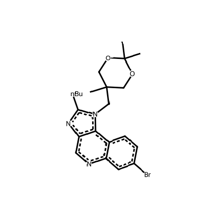 CCCCc1nc2cnc3cc(Br)ccc3c2n1CC1(C)COC(C)(C)OC1